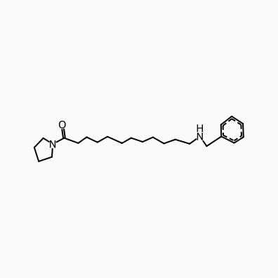 O=C(CCCCCCCCCCCNCc1ccccc1)N1CCCC1